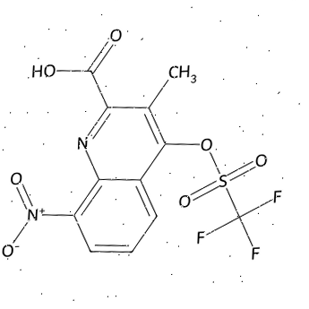 Cc1c(C(=O)O)nc2c([N+](=O)[O-])cccc2c1OS(=O)(=O)C(F)(F)F